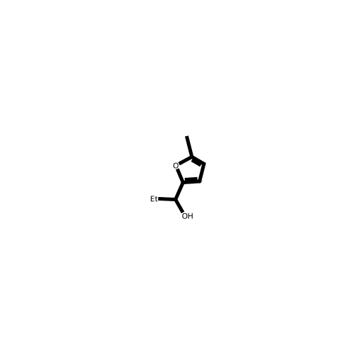 CCC(O)c1[c]cc(C)o1